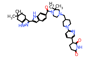 CC1(C)CCc2c(-c3cc4ccc(C(=O)N5CCN(CC6CCN(c7ccc(C8CCC(=O)NC8=O)cn7)CC6)CC5(C)C)cc4[nH]3)n[nH]c2C1